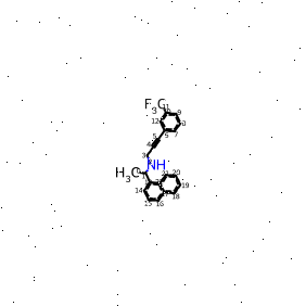 CC(NCC#Cc1cccc(C(F)(F)F)c1)c1cccc2ccccc12